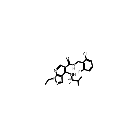 CCn1ncc2c(N[C@@H](C)C(C)C)c(C(=O)NCc3c(F)cccc3Cl)cnc21